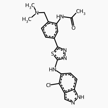 CC(=O)Nc1cc(-c2nnc(Nc3ccc4[nH]ncc4c3Cl)s2)ccc1CN(C)C